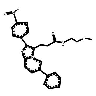 COCCNC(=O)CCc1c(-c2ccc([N+](=O)[O-])cc2)nc2ccc(-c3ccccc3)cn12